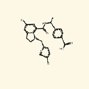 CC(NC(=O)c1cc(Cl)cc2c1N(Cc1ccc(Cl)cc1)CC2)c1ccc(C(=O)O)cc1